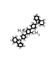 Cc1cc(-c2ccc(-n3c4ccccc4c4ccccc43)cc2)c(C)cc1-c1ccc(-n2c3c(c4ccccc42)CCC=C3)cc1